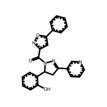 O=C(c1cc(-c2ccccc2)on1)N1N=C(c2cccnc2)CC1c1ccccc1O